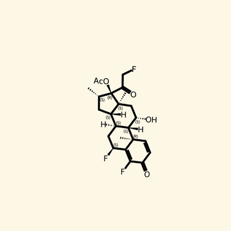 CC(=O)O[C@]1(C(=O)CF)[C@@H](C)C[C@H]2[C@@H]3C[C@H](F)C4=C(F)C(=O)C=C[C@]4(C)[C@H]3[C@@H](O)C[C@@]21C